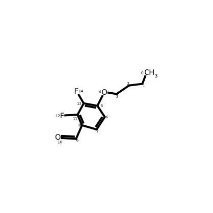 CCCCOc1ccc(C=O)c(F)c1F